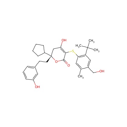 Cc1cc(SC2=C(O)C[C@@](CCc3cccc(O)c3)(C3CCCC3)OC2=O)c(C(C)(C)C)cc1CO